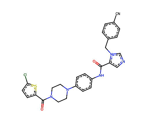 N#Cc1ccc(Cn2cncc2C(=O)Nc2ccc(N3CCN(C(=O)c4ccc(Cl)s4)CC3)cc2)cc1